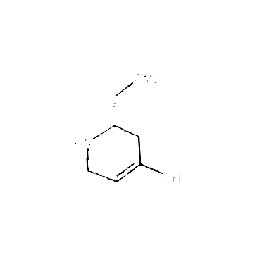 COC[C@@H]1CC(C)=CCN1